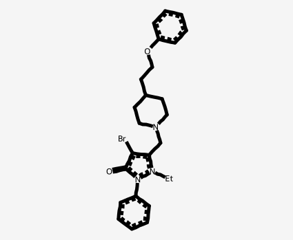 CCn1c(CN2CCC(CCOc3ccccc3)CC2)c(Br)c(=O)n1-c1ccccc1